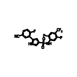 N#Cc1ccc(F)c(-c2cc(S(=O)(=O)Nc3cc(F)c(C(F)(F)F)cc3F)c[nH]2)c1